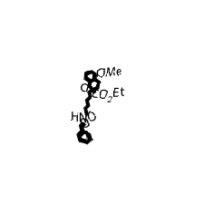 CCOC(=O)C1(CCCCCC(=O)NOCc2ccccc2)CCc2c(OC)cccc2C1=O